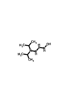 CC(C)N(BBBO)C(C)C